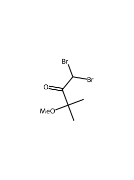 COC(C)(C)C(=O)C(Br)Br